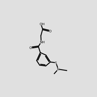 CN(C)Sc1cccc(C(=O)NCC(=O)O)c1